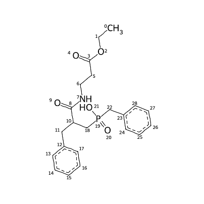 CCOC(=O)CCNC(=O)C(Cc1ccccc1)CP(=O)(O)Cc1ccccc1